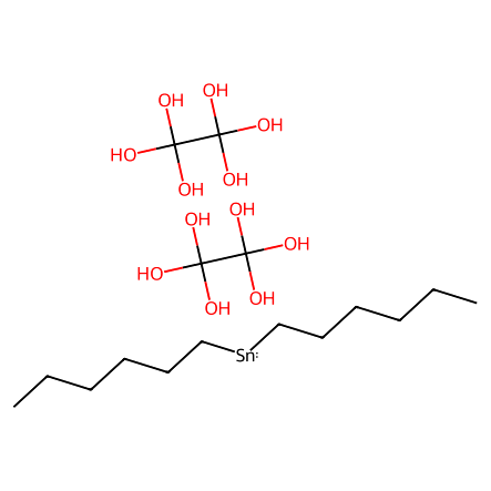 CCCCC[CH2][Sn][CH2]CCCCC.OC(O)(O)C(O)(O)O.OC(O)(O)C(O)(O)O